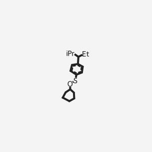 CCC(c1ccc(SOC2CCCCC2)cc1)C(C)C